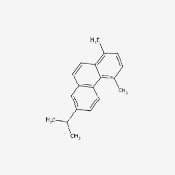 Cc1ccc(C)c2c1ccc1cc(C(C)C)ccc12